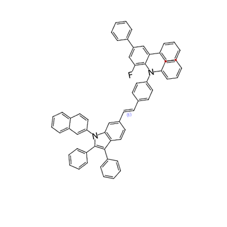 Fc1cc(-c2ccccc2)cc(-c2ccccc2)c1N(c1ccccc1)c1ccc(/C=C/c2ccc3c(-c4ccccc4)c(-c4ccccc4)n(-c4ccc5ccccc5c4)c3c2)cc1